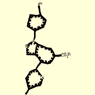 Cc1ccc(-c2cc(C(=O)O)cc3c2cnn3-c2ccc(C(C)C)cc2)nc1